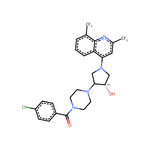 O=C(c1ccc(Cl)cc1)N1CCN(C2CN(c3cc(C(F)(F)F)nc4c(C(F)(F)F)cccc34)C[C@@H]2O)CC1